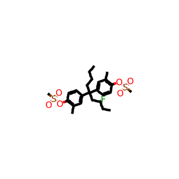 CCCCC(CC(F)CC)(c1ccc(OS(C)(=O)=O)c(C)c1)c1ccc(OS(C)(=O)=O)c(C)c1